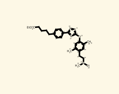 CCOC(=O)CCCCc1ccc(-c2nsc(Oc3cc(C)c(CCN(C)CC)cc3C)n2)cc1